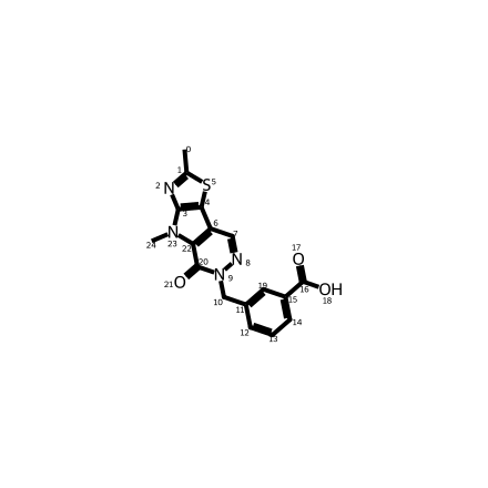 Cc1nc2c(s1)c1cnn(Cc3cccc(C(=O)O)c3)c(=O)c1n2C